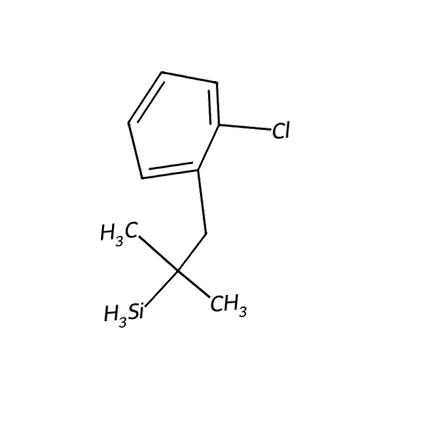 CC(C)([SiH3])Cc1ccccc1Cl